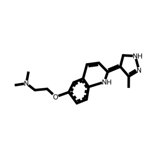 CC1=NNC/C1=C1\C=Cc2cc(OCCN(C)C)ccc2N1